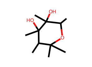 CC1OC(C)(C)C(C)C(C)(O)C1(C)O